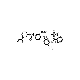 C=CC(=O)N1CCCC(NC(=O)c2ccc(Nc3ncc(C(F)(F)F)c(NCc4nccnc4N(C)S(C)(=O)=O)n3)c(OC)c2)C1